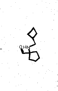 O=CC1(NCC2CCC2)CCCC1